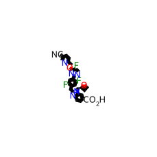 N#Cc1ccc(COc2nc(-c3cc(F)c(Cc4nc5ccc(C(=O)O)cc5n4C[C@@H]4CCO4)cc3F)ncc2F)nc1